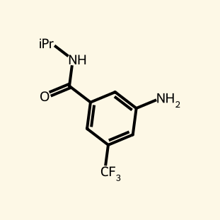 CC(C)NC(=O)c1cc(N)cc(C(F)(F)F)c1